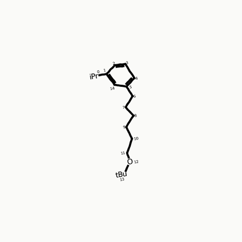 CC(C)c1cccc(CCCCCCOC(C)(C)C)c1